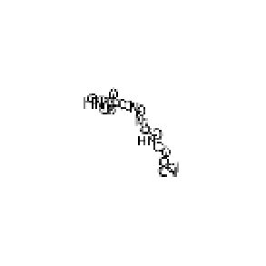 N#Cc1ccc(O[C@H]2CC[C@H](NC(=O)c3ccc4c(c3)CCN(CC(=O)N3CCc5cc6c(cc5C3)C(=O)N(C3CCC(=O)NC3=O)C6=O)C4)CC2)cc1Cl